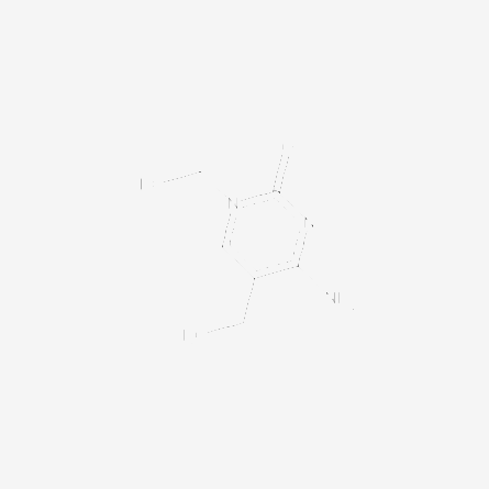 CCc1cn(CC)c(=O)nc1N